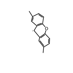 Cc1ccc2c(c1)[C]c1cc(C)ccc1O2